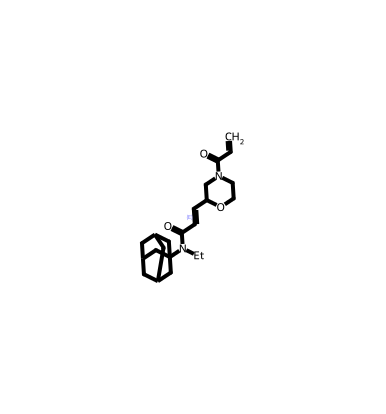 C=CC(=O)N1CCOC(/C=C/C(=O)N(CC)C23CC4CC(CC(C4)C2)C3)C1